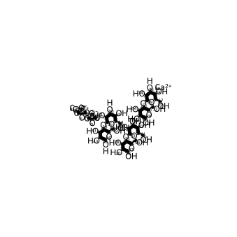 O=P([O-])([O-])[O-].O=P([O-])([O-])[O-].OC[C@H]1O[C@@H](O[C@H]2[C@H](O)[C@@H](O)[C@@H](O)O[C@@H]2CO)[C@H](O)[C@@H](O)[C@H]1O.OC[C@H]1O[C@@H](O[C@H]2[C@H](O)[C@@H](O)[C@@H](O)O[C@@H]2CO)[C@H](O)[C@@H](O)[C@H]1O.OC[C@H]1O[C@@H](O[C@H]2[C@H](O)[C@@H](O)[C@@H](O)O[C@@H]2CO)[C@H](O)[C@@H](O)[C@H]1O.[Ca+2].[Ca+2].[Ca+2]